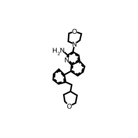 Nc1nc2c(-c3ccccc3CC3CCOCC3)cccc2cc1N1CCOCC1